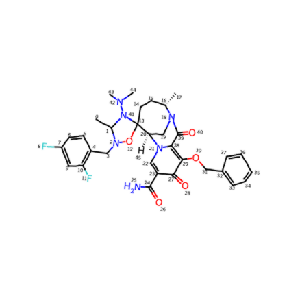 CC1N(Cc2ccc(F)cc2F)OC2(CC[C@H](C)N3C[C@H]2n2cc(C(N)=O)c(=O)c(OCc4ccccc4)c2C3=O)N1N(C)C